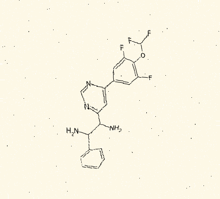 NC(c1ccccc1)C(N)c1cc(-c2cc(F)c(OC(F)F)c(F)c2)ncn1